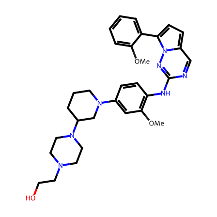 COc1cc(N2CCCC(N3CCN(CCO)CC3)C2)ccc1Nc1ncc2ccc(-c3ccccc3OC)n2n1